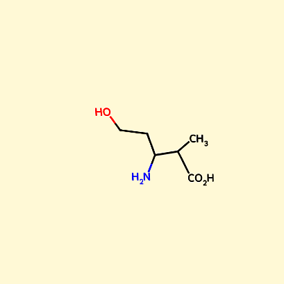 CC(C(=O)O)C(N)CCO